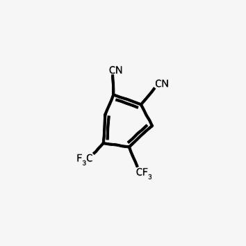 N#Cc1cc(C(F)(F)F)c(C(F)(F)F)cc1C#N